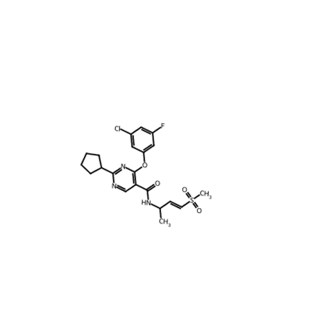 CC(/C=C/S(C)(=O)=O)NC(=O)c1cnc(C2CCCC2)nc1Oc1cc(F)cc(Cl)c1